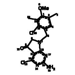 COc1c(C)cc(CN2CC(=O)c3c(Cl)nc(N)nc32)c(Cl)c1C